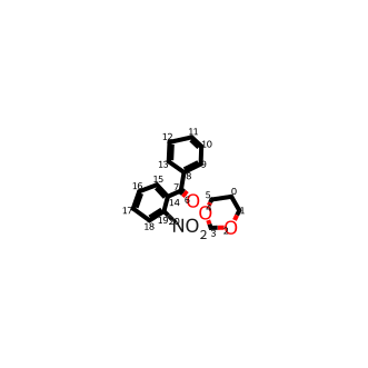 C1COCOC1.O=C(c1ccccc1)c1ccccc1[N+](=O)[O-]